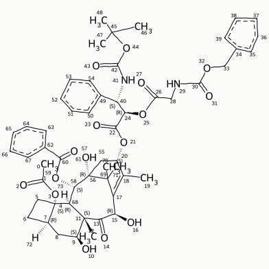 CC(=O)O[C@@]12CC[C@@H]1C[C@H](O)[C@@]1(C)C(=O)[C@H](O)C3=C(C)[C@@H](OC(=O)[C@H](OC(=O)CNC(=O)OCc4ccccc4)[C@@H](NC(=O)OC(C)(C)C)c4ccccc4)C[C@](O)([C@@H](OC(=O)c4ccccc4)[C@H]21)C3(C)C